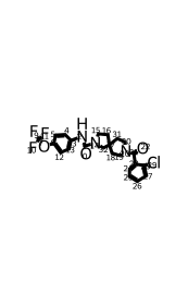 O=C(Nc1ccc(OC(F)(F)F)cc1)N1CCC2(CCN(C(=O)c3ccccc3Cl)CC2)C1